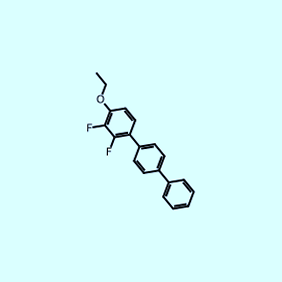 CCOc1ccc(-c2ccc(-c3ccccc3)cc2)c(F)c1F